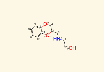 O[CH]CNCC1COc2ccccc2O1